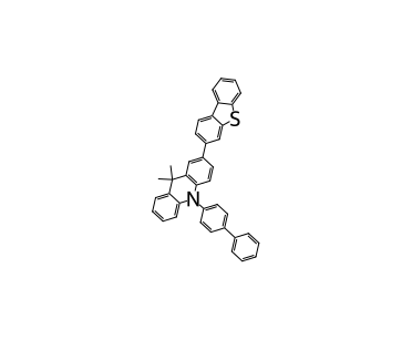 CC1(C)c2ccccc2N(c2ccc(-c3ccccc3)cc2)c2ccc(-c3ccc4c(c3)sc3ccccc34)cc21